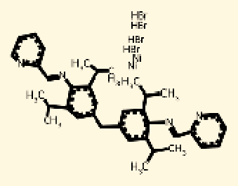 Br.Br.Br.Br.CC(C)c1cc(Cc2cc(C(C)C)c(N=Cc3ccccn3)c(C(C)C)c2)cc(C(C)C)c1N=Cc1ccccn1.[Ni].[Ni]